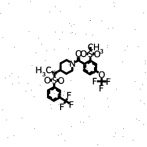 C[C@@H](C1CCN(C(=O)c2ccc(OC(F)(F)F)cc2S(C)(=O)=O)CC1)S(=O)(=O)c1cccc(C(F)(F)F)c1